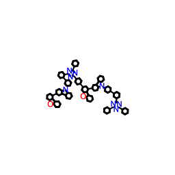 c1ccc(-c2nc(-c3ccccc3)nc(-c3cccc(-c4ccc(-n5c6ccccc6c6cc(-c7cc(-c8ccc(-c9nc(-c%10ccccc%10)nc(-c%10ccccc%10-c%10cccc(-n%11c%12ccccc%12c%12cc(-c%13cccc%14oc%15ccccc%15c%13%14)ccc%12%11)c%10)n9)cc8)cc8oc9ccccc9c78)ccc65)cc4)c3)n2)cc1